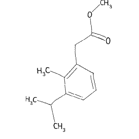 COC(=O)Cc1cccc(C(C)C)c1C